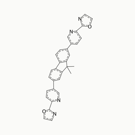 CC1(C)c2cc(-c3ccc(-c4ncco4)nc3)ccc2-c2ccc(-c3ccc(-c4ncco4)nc3)cc21